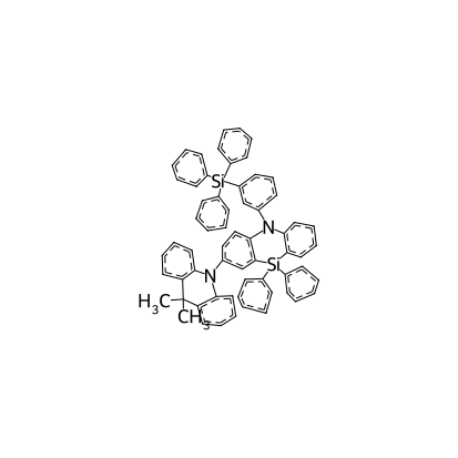 CC1(C)c2ccccc2N(c2ccc3c(c2)[Si](c2ccccc2)(c2ccccc2)c2ccccc2N3c2cccc([Si](c3ccccc3)(c3ccccc3)c3ccccc3)c2)c2ccccc21